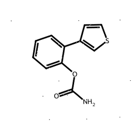 NC(=O)Oc1ccccc1-c1ccsc1